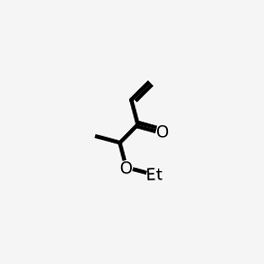 C=CC(=O)C(C)OCC